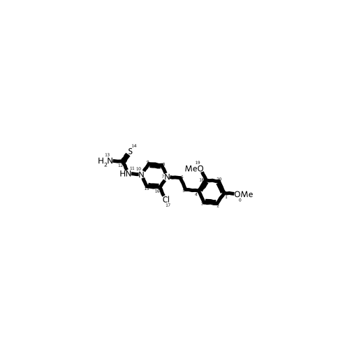 COc1ccc(CCN2C=CN(NC(N)=S)C=C2Cl)c(OC)c1